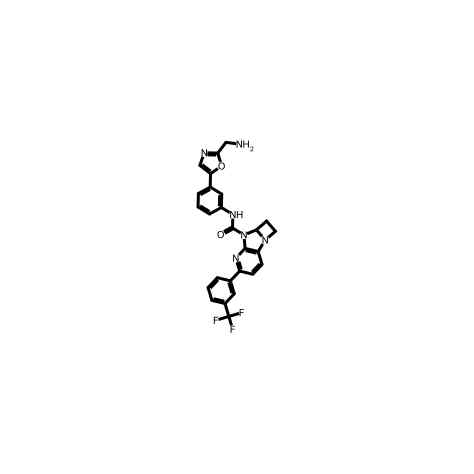 NCc1ncc(-c2cccc(NC(=O)N3c4nc(-c5cccc(C(F)(F)F)c5)ccc4N4CCC43)c2)o1